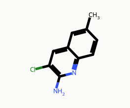 Cc1ccc2nc(N)c(Cl)cc2c1